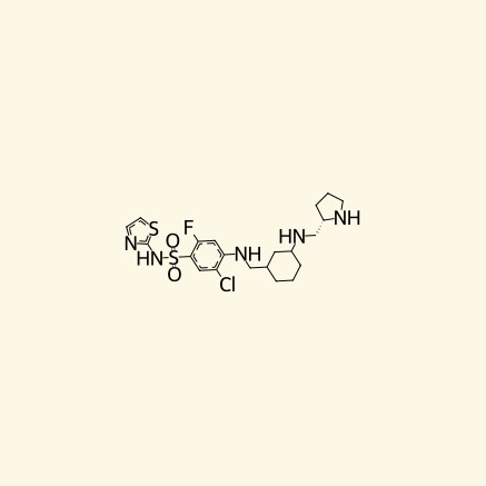 O=S(=O)(Nc1nccs1)c1cc(Cl)c(NCC2CCCC(NC[C@@H]3CCCN3)C2)cc1F